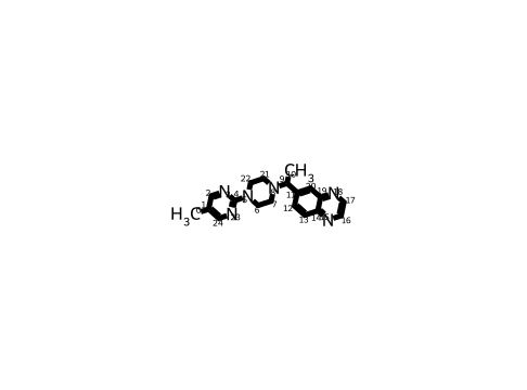 Cc1cnc(N2CCN(C(C)c3ccc4nccnc4c3)CC2)nc1